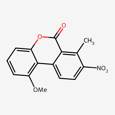 COc1cccc2oc(=O)c3c(C)c([N+](=O)[O-])ccc3c12